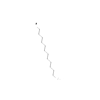 CCCCCCCCCCCCCCCCCCCCC[S+]=O